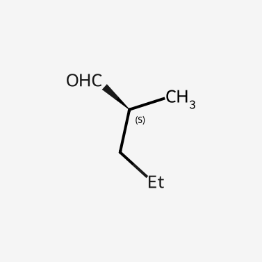 CCC[C@H](C)C=O